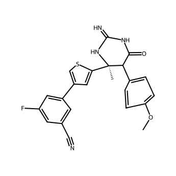 COc1ccc(C2C(=O)NC(=N)N[C@]2(C)c2cc(-c3cc(F)cc(C#N)c3)cs2)cc1